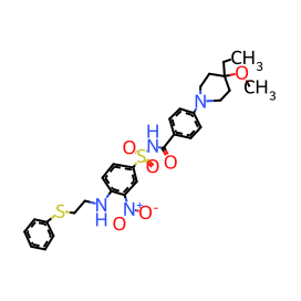 CCC1(OC)CCN(c2ccc(C(=O)NS(=O)(=O)c3ccc(NCCSc4ccccc4)c([N+](=O)[O-])c3)cc2)CC1